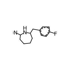 [N]C1CCCCC(Cc2ccc(F)cc2)N1